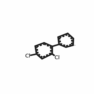 Clc1ccc(-c2c[c]ccc2)c(Cl)c1